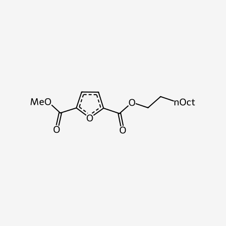 CCCCCCCCCCOC(=O)c1ccc(C(=O)OC)o1